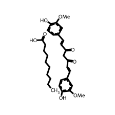 CCCCCCCCCC(=O)O.COc1cc(C=CC(=O)CC(=O)C=Cc2ccc(O)c(OC)c2)ccc1O